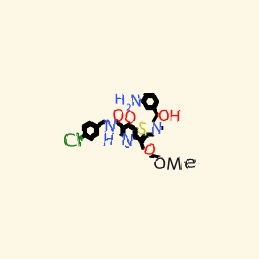 COCCOCc1c(CN(C)CC(O)c2cccc(N)c2)sc2c(=O)c(C(=O)NCc3ccc(Cl)cc3)cn(C)c12